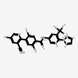 C#Cc1cc(F)cnc1-c1cc(Cl)c(C(=O)Nc2cnc(-n3nccn3)c(C(F)(F)F)c2)cc1F